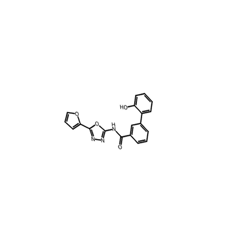 O=C(Nc1nnc(-c2ccco2)o1)c1cccc(-c2ccccc2O)c1